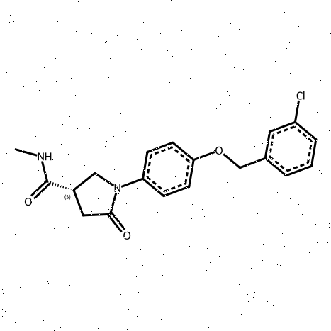 CNC(=O)[C@H]1CC(=O)N(c2ccc(OCc3cccc(Cl)c3)cc2)C1